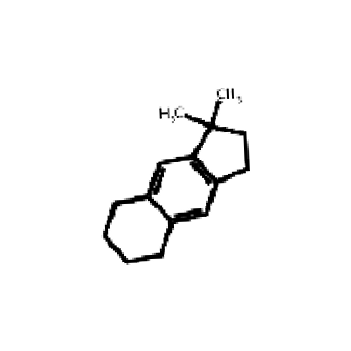 CC1(C)CCc2cc3c(cc21)CCCC3